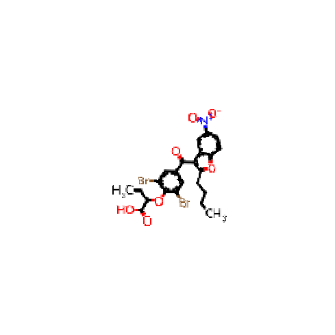 CCCCc1oc2ccc([N+](=O)[O-])cc2c1C(=O)c1cc(Br)c(OC(CC)C(=O)O)c(Br)c1